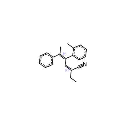 CC/C(C#N)=C/C(=C(/C)c1ccccc1)c1ccccc1C